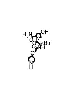 CC(C)(C)[C@H](NC(=O)COC1CCNCC1)C(=O)N1CC(O)CC1C(N)=O